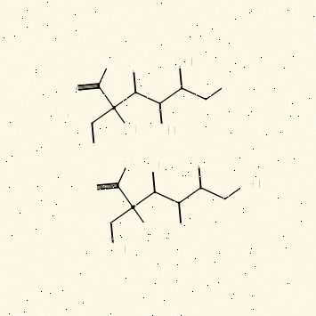 CCC(O)(C(=O)[O-])C(O)C(O)C(O)CO.CCC(O)(C(=O)[O-])C(O)C(O)C(O)CO.[Sn+2]